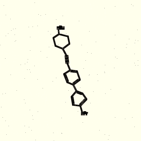 CCCCC1CCC(C#Cc2ccc(-c3ccc(CCC)cc3)cc2)CC1